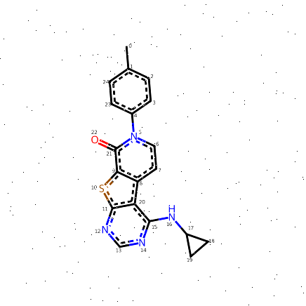 Cc1ccc(-n2ccc3c(sc4ncnc(NC5CC5)c43)c2=O)cc1